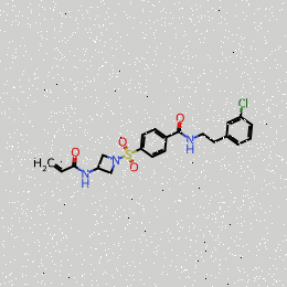 C=CC(=O)NC1CN(S(=O)(=O)c2ccc(C(=O)NCCc3cccc(Cl)c3)cc2)C1